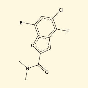 CN(C)C(=O)c1cc2c(F)c(Cl)cc(Br)c2o1